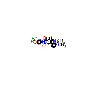 CN(C)c1cccc2c(CN3C(=O)N(c4ccc(OC(F)(F)F)cc4)C(=O)C3(C)C)ccnc12